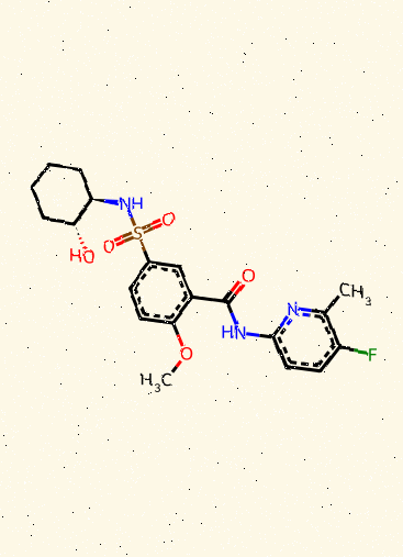 COc1ccc(S(=O)(=O)N[C@@H]2CCCC[C@H]2O)cc1C(=O)Nc1ccc(F)c(C)n1